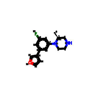 C[C@@H]1CNCCN1c1cc(F)cc(-c2ccoc2)c1